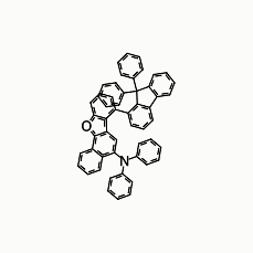 c1ccc(N(c2ccccc2)c2cc3c(oc4cccc(-c5cccc6c5C(c5ccccc5)(c5ccccc5)c5ccccc5-6)c43)c3ccccc23)cc1